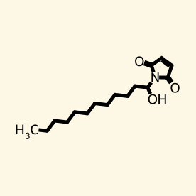 CCCCCCCCCCCC(O)N1C(=O)C=CC1=O